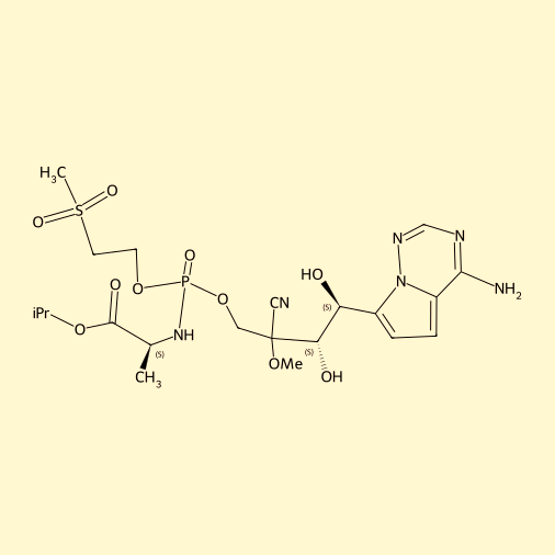 COC(C#N)(COP(=O)(N[C@@H](C)C(=O)OC(C)C)OCCS(C)(=O)=O)[C@@H](O)[C@@H](O)c1ccc2c(N)ncnn12